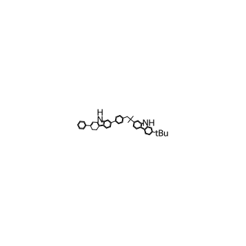 CC(C)(C)c1ccc2c(c1)[nH]c1cc(C(C)(C)Cc3ccc(-c4ccc5c6c([nH]c5c4)C=C(c4ccccc4)CC6)cc3)ccc12